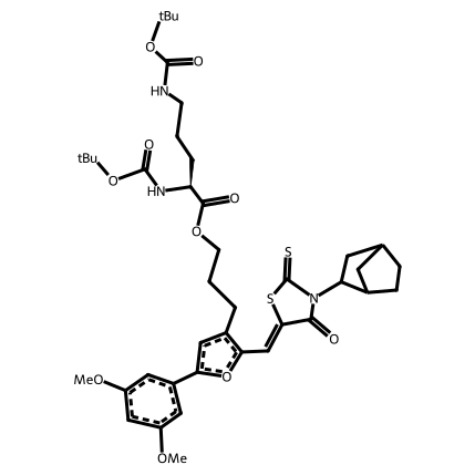 COc1cc(OC)cc(-c2cc(CCCOC(=O)[C@H](CCCNC(=O)OC(C)(C)C)NC(=O)OC(C)(C)C)c(/C=C3\SC(=S)N(C4CC5CCC4C5)C3=O)o2)c1